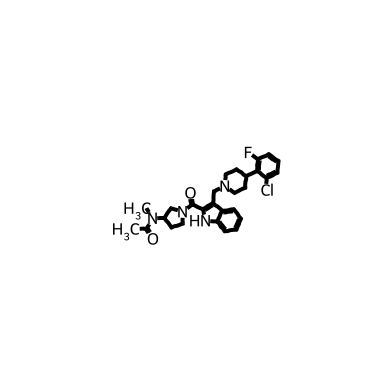 CC(=O)N(C)C1CCN(C(=O)c2[nH]c3ccccc3c2CN2CCC(c3c(F)cccc3Cl)CC2)C1